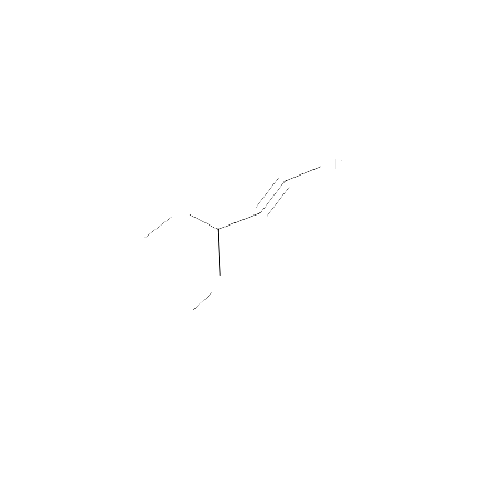 CCCCC#CC(OCC)OCC